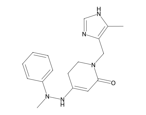 Cc1[nH]cnc1CN1CCC(NN(C)c2ccccc2)=CC1=O